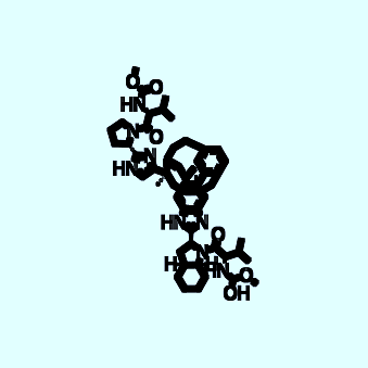 COC(=O)N[C@H](C(=O)N1CCC[C@H]1c1nc([C@]2(C)CC3CCc4ccc(cc4-c4ccc5[nH]c([C@@H]6C[C@@H]7CCCC[C@@H]7N6C(=O)[C@@H](NC(O)OC)C(C)C)nc5c4)CCC2=C[C@@H]3C)c[nH]1)C(C)C